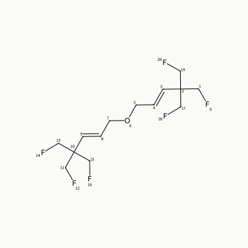 FCC(C=CCOCC=CC(CF)(CF)CF)(CF)CF